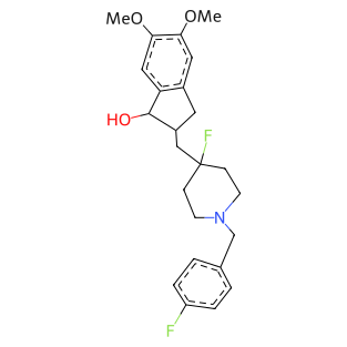 COc1cc2c(cc1OC)C(O)C(CC1(F)CCN(Cc3ccc(F)cc3)CC1)C2